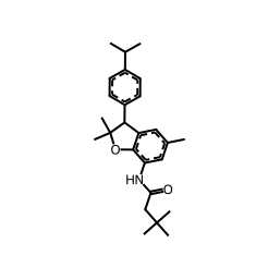 Cc1cc(NC(=O)CC(C)(C)C)c2c(c1)C(c1ccc(C(C)C)cc1)C(C)(C)O2